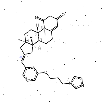 C[C@]12CC[C@H]3[C@@H](CCC4=CC(=O)CC(=O)[C@@]43C)[C@@H]1C/C(=C\c1cccc(OCCCn3ccnc3)c1)C2